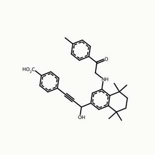 Cc1ccc(C(=O)CNc2cc(C(O)C#Cc3ccc(C(=O)O)cc3)cc3c2C(C)(C)CCC3(C)C)cc1